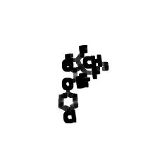 CC(C(=O)C(Br)Oc1ccc(Cl)cc1)(C(F)F)C(F)F